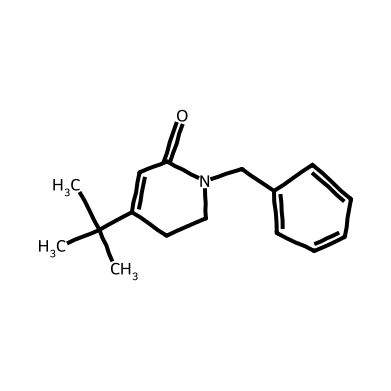 CC(C)(C)C1=CC(=O)N(Cc2ccccc2)CC1